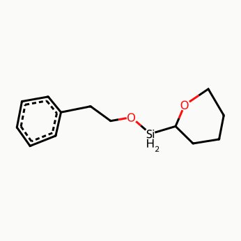 c1ccc(CCO[SiH2]C2CCCCO2)cc1